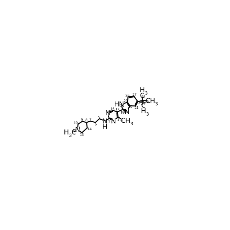 Cc1nc(NCCCC2CCN(C)CC2)ncc1-c1nc2cc(C(C)(C)C)ccc2[nH]1